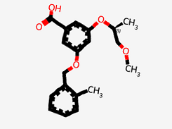 COC[C@H](C)Oc1cc(OCc2ccccc2C)cc(C(=O)O)c1